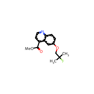 COC(=O)c1ccnc2ccc(OCC(C)(C)F)cc12